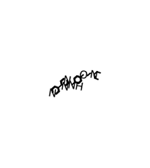 CCN(CC)CCOc1ccc(Nc2nccc(-c3ccncc3)n2)cc1